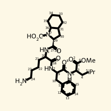 COC(=O)C(CC(C)C)NC(=O)C(Cc1ccccc1)NC(=O)C(CCCCN)NC(=O)[C@@H]1CC2CCCCC2N1C(=O)O